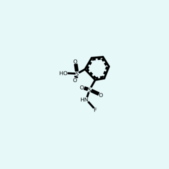 O=S(=O)(O)c1ccccc1S(=O)(=O)NF